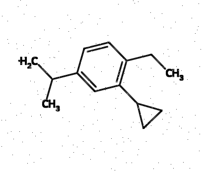 [CH2]C(C)c1ccc(CC)c(C2CC2)c1